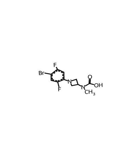 CN(C(=O)O)C1CN(c2cc(F)c(Br)cc2F)C1